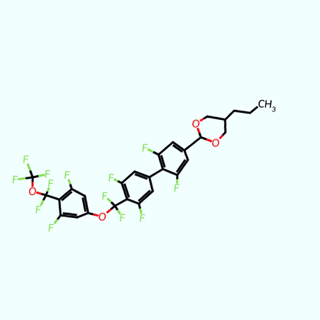 CCCC1COC(c2cc(F)c(-c3cc(F)c(C(F)(F)Oc4cc(F)c(C(F)(F)OC(F)(F)F)c(F)c4)c(F)c3)c(F)c2)OC1